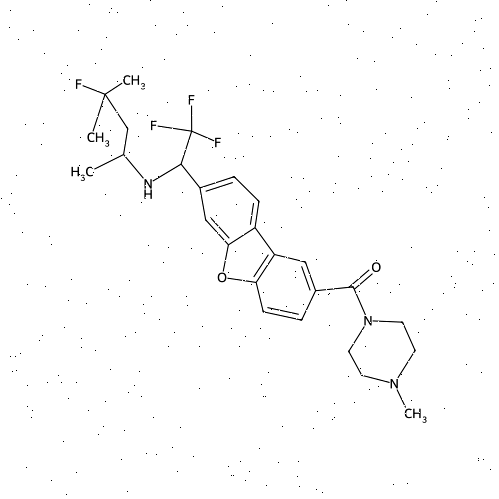 CC(CC(C)(C)F)NC(c1ccc2c(c1)oc1ccc(C(=O)N3CCN(C)CC3)cc12)C(F)(F)F